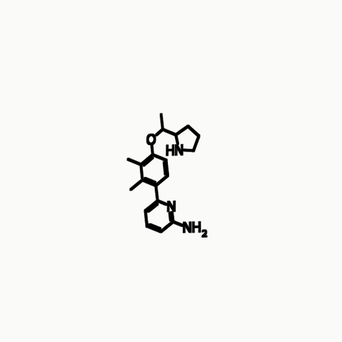 Cc1c(OC(C)C2CCCN2)ccc(-c2cccc(N)n2)c1C